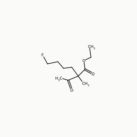 CCOC(=O)C(C)(CCCCF)C(C)=O